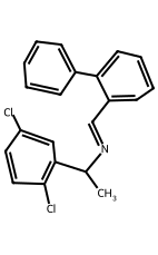 CC(/N=C/c1ccccc1-c1ccccc1)c1cc(Cl)ccc1Cl